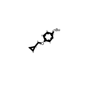 CCCCc1ccc(OCC2CC2)cc1